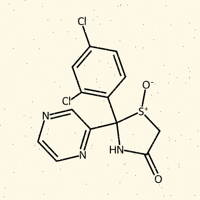 O=C1C[S+]([O-])C(c2cnccn2)(c2ccc(Cl)cc2Cl)N1